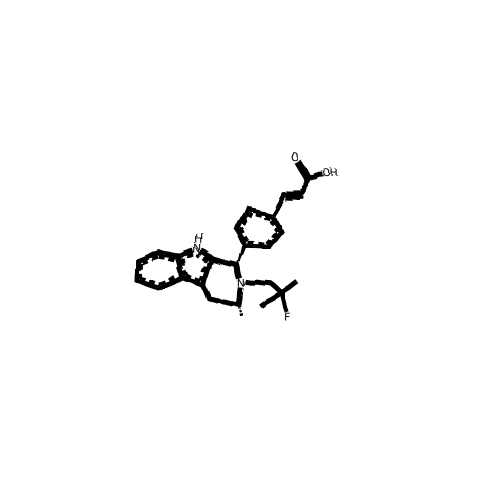 C[C@@H]1Cc2c([nH]c3ccccc23)[C@@H](c2ccc(C=CC(=O)O)cc2)N1CC(C)(C)F